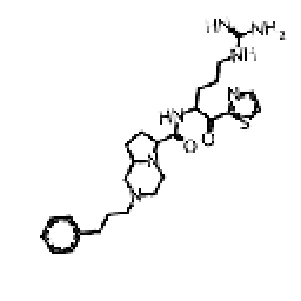 N=C(N)NCCCC(NC(=O)C1CCC2CN(CCCc3ccccc3)CCN21)C(=O)c1nccs1